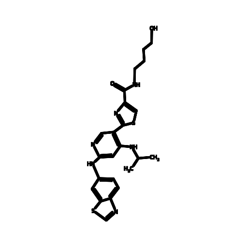 CC(C)Nc1cc(Nc2ccc3ncsc3c2)ncc1-c1nc(C(=O)NCCCCO)cs1